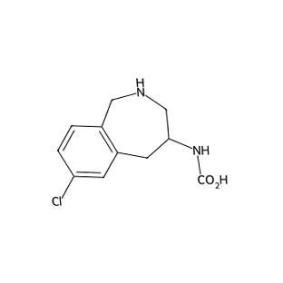 O=C(O)NC1CNCc2ccc(Cl)cc2C1